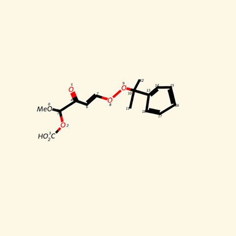 COC(OC(=O)O)C(=O)C=COOC(C)(C)c1ccccc1